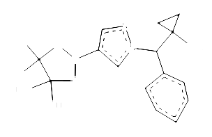 CC1(C(c2ccccc2)n2cc(B3OC(C)(C)C(C)(C)O3)cn2)CC1